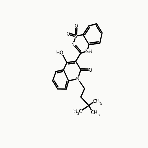 CC(C)(C)CCn1c(=O)c(C2=NS(=O)(=O)c3ccccc3N2)c(O)c2ccccc21